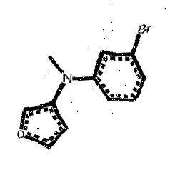 CN(c1ccoc1)c1cccc(Br)c1